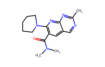 Cc1ncc2cc(C(=O)N(C)C)c(N3CCCCC3)nc2n1